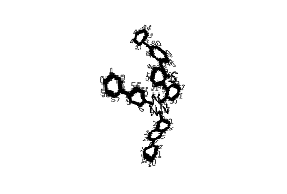 c1ccc(-c2ccc(-c3nc(-c4ccc5cc(-c6ccccc6)ccc5c4)nc(-c4cccc5sc6c(-c7cccc(-c8ccccc8)c7)cccc6c45)n3)cc2)cc1